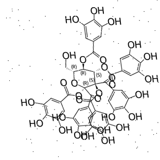 O=C(O[C@@H]1[C@@H](CO)O[C@](OC(=O)c2cc(O)c(O)c(O)c2)(C(=O)c2cc(O)c(O)c(O)c2)[C@@](OC(=O)c2cc(O)c(O)c(O)c2)(C(=O)c2cc(O)c(O)c(O)c2)[C@H]1OC(=O)c1cc(O)c(O)c(O)c1)c1cc(O)c(O)c(O)c1